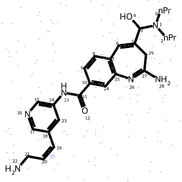 CCCN(CCC)C(O)C1=Cc2ccc(C(=O)Nc3cncc(/C=C\CN)c3)cc2N=C(N)C1